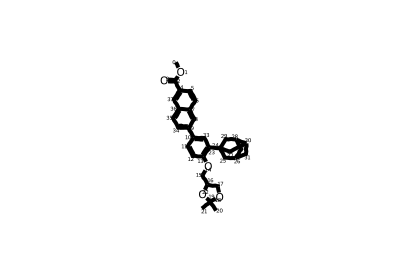 COC(=O)c1ccc2cc(-c3ccc(OCC4COC(C)(C)O4)c(C45CC6CC(C4)C(C6)C5)c3)ccc2c1